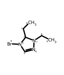 CCC1N(Br)C=NN1CC